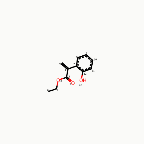 C=C(C(=O)OCC)c1ccccc1O